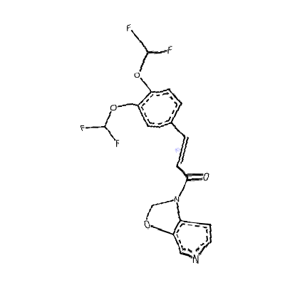 O=C(/C=C/c1ccc(OC(F)F)c(OC(F)F)c1)N1COc2cnccc21